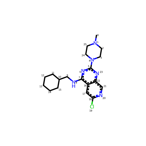 CN1CCN(c2nc(NCC3CCCCC3)c3cc(Cl)ncc3n2)CC1